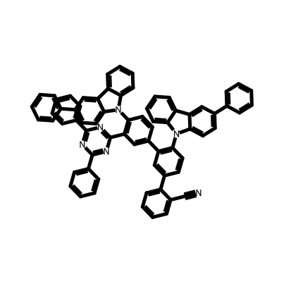 N#Cc1ccccc1-c1ccc(-n2c3ccccc3c3cc(-c4ccccc4)ccc32)c(-c2ccc(-n3c4ccccc4c4cc(-c5ccccc5)ccc43)c(-c3nc(-c4ccccc4)nc(-c4ccccc4)n3)c2)c1